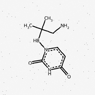 CC(C)(Bn1ccc(=O)[nH]c1=O)CN